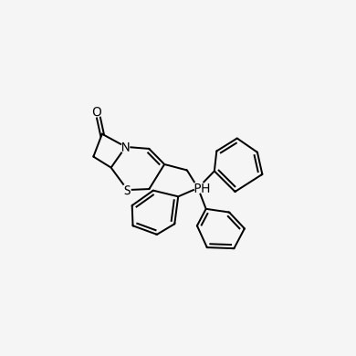 O=C1CC2SCC(C[PH](c3ccccc3)(c3ccccc3)c3ccccc3)=CN12